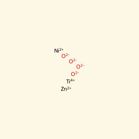 [Ni+2].[O-2].[O-2].[O-2].[O-2].[Ti+4].[Zn+2]